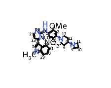 COc1cc(N2CCC(N3CCC3)CC2)c([N+](=O)[O-])cc1Nc1nccc(-c2cn(C)c3ccccc23)n1